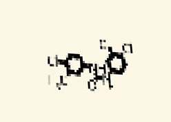 CN(C(=O)Nc1ccc(Cl)c(C(F)(F)F)c1)c1ccc(Cl)c(Cl)c1